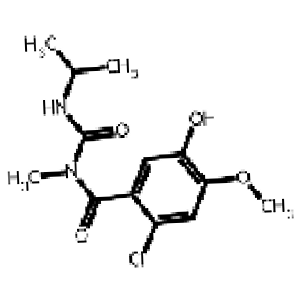 COc1cc(Cl)c(C(=O)N(C)C(=O)NC(C)C)cc1O